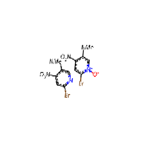 CNc1c[n+]([O-])c(Br)cc1[N+](=O)[O-].CNc1cnc(Br)cc1[N+](=O)[O-]